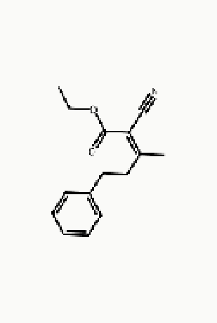 CCOC(=O)C(C#N)=C(C)CCc1ccccc1